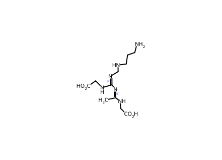 C/C(=N\C(=N/CNCCCN)NCC(=O)O)NCC(=O)O